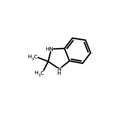 CC1(C)Nc2c[c]ccc2N1